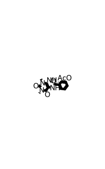 CC(=O)Oc1ccccc1C(=O)Nc1c(N)n(C)c(=O)n(C)c1=O